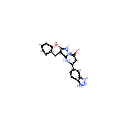 O=c1cc(-c2ccc3[nH]nnc3c2)[nH]c2c(Cc3ccccc3)c(O)nn12